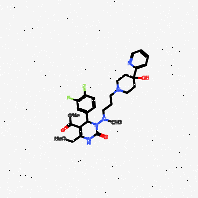 COCC1=C(C(=O)OC)C(c2ccc(F)c(F)c2)N(N(C=O)CCCN2CCC(O)(c3ccccn3)CC2)C(=O)N1